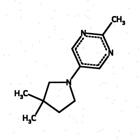 Cc1ncc(N2CCC(C)(C)C2)cn1